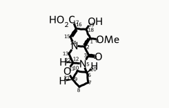 COC1=C2C(=O)N3[C@@H]4CC[C@@H](C4)O[C@@H]3CN2C=C(C(=O)O)C1O